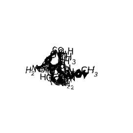 COc1c(OC[C@H](O)CN)cc2cc1-c1cc(ccc1OC[C@H](O)CN)C[C@@H](C(=O)O)NC(=O)[C@H](C)NC(=O)[C@H]2N(C)C(=O)[C@H](CNS(N)(=O)=O)NC(=O)c1cnc(-c2ccc(C3(C)CC3)cc2)nc1C